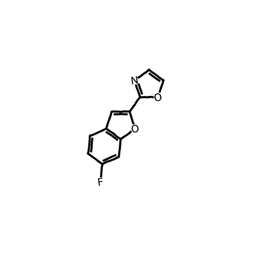 Fc1ccc2cc(-c3ncco3)oc2c1